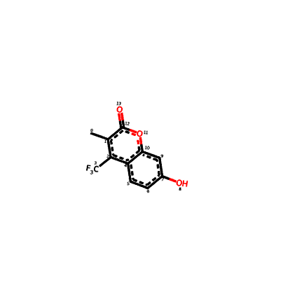 Cc1c(C(F)(F)F)c2ccc(O)cc2oc1=O